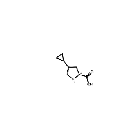 O=C(O)[C@@H]1CC(C2CC2)CN1